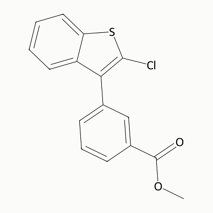 COC(=O)c1cccc(-c2c(Cl)sc3ccccc23)c1